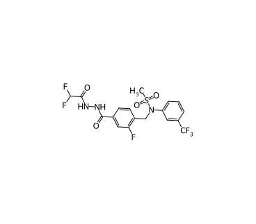 CS(=O)(=O)N(Cc1ccc(C(=O)NNC(=O)C(F)F)cc1F)c1cccc(C(F)(F)F)c1